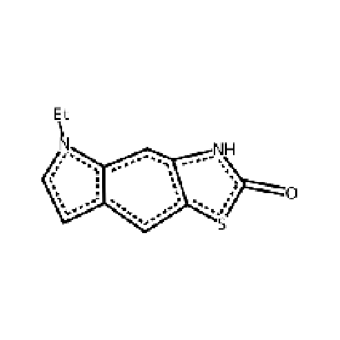 CCn1ccc2cc3sc(=O)[nH]c3cc21